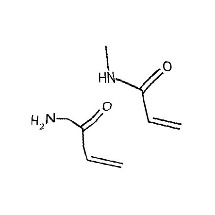 C=CC(=O)NC.C=CC(N)=O